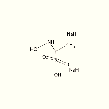 CC(NO)S(=O)(=O)O.[NaH].[NaH]